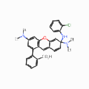 CCN(CC)c1cc2c(c(-c3ccccc3C(=O)O)c1)C=C1C=CC(Nc3ccccc3Cl)(N(CC)CC)C=C1O2